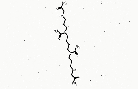 PC(=S)CNCCCN(CCCCN(CCCNCC(P)=S)C(P)=S)C(P)=S